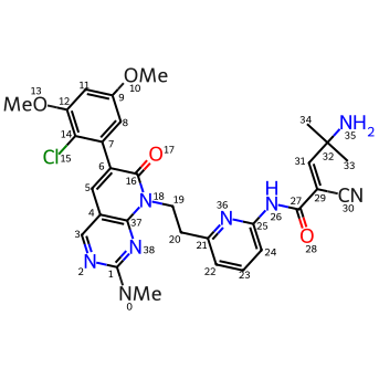 CNc1ncc2cc(-c3cc(OC)cc(OC)c3Cl)c(=O)n(CCc3cccc(NC(=O)C(C#N)=CC(C)(C)N)n3)c2n1